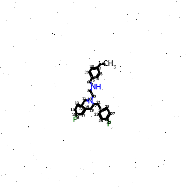 CCc1ccc(CNCCN2CC3=CCC(F)C=C3CC2Cc2ccc(F)cc2)cc1